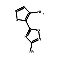 CCCCc1noc(-c2sccc2N)n1